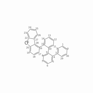 c1ccc(-c2ccccc2-c2ccccc2-c2cccc3oc4ccccc4c23)cc1